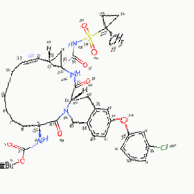 CC(C)(C)OC(=O)N[C@H]1CCCCC/C=C\[C@@H]2C[C@@]2(C(=O)NS(=O)(=O)C2(C)CC2)NC(=O)[C@@H]2Cc3cc(Oc4cccc(Cl)c4)ccc3CN2C1=O